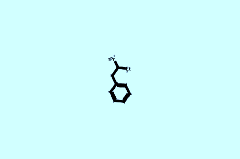 CCCC(CC)Cc1ccccc1